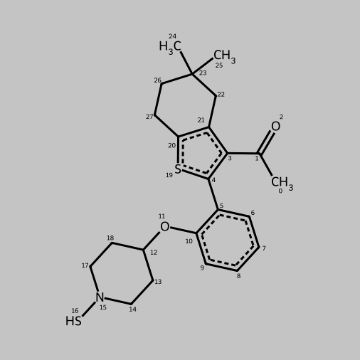 CC(=O)c1c(-c2ccccc2OC2CCN(S)CC2)sc2c1CC(C)(C)CC2